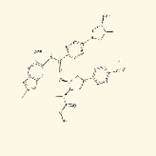 CN(C(=O)OC(C)(C)C)[C@@H]1CN(c2cnc(C(=O)[O-])cn2)C[C@@H]1F.CN[C@@H]1CN(c2cnc(C(=O)Nc3cc4cn(C)nc4cc3OC)cn2)C[C@@H]1F.[Li+]